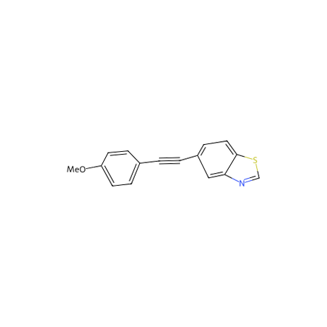 COc1ccc(C#Cc2ccc3scnc3c2)cc1